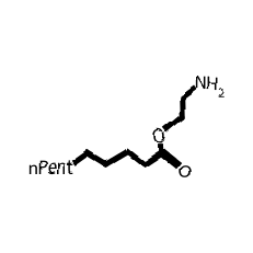 CCCCCCCCCC(=O)OCCN